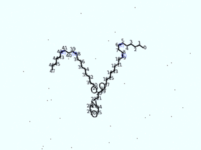 CCCCC/C=C\C/C=C\CCCCCCCCOCC(CCN1CCOCC1)OCCCCCCCC/C=C\C/C=C\CCCCC